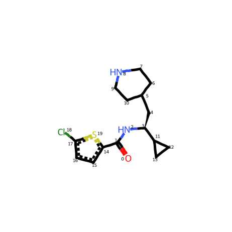 O=C(N[C@@H](CC1CCNCC1)C1CC1)c1ccc(Cl)s1